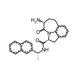 C[C@@H](NC(=O)[C@@H]1Cc2cccc3c2N1C(=O)[C@@H](N)CC3)c1ccc2ccccc2c1